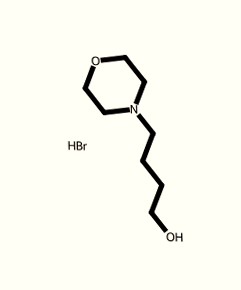 Br.OCCCCN1CCOCC1